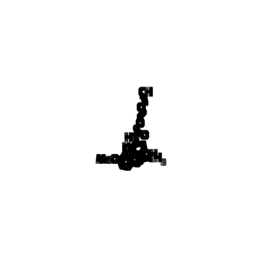 C#CCOCCOCC(=O)N[C@H]1CC[C@@]2(O)C3Cc4ccc(OC)c5c4[C@@]2(CCN3C)[C@H]1O5